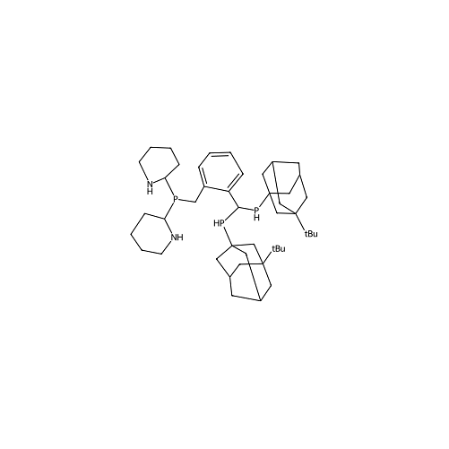 CC(C)(C)C12CC3CC(CC(PC(PC45CC6CC(C4)CC(C(C)(C)C)(C6)C5)c4ccccc4CP(C4CCCCN4)C4CCCCN4)(C3)C1)C2